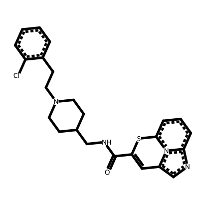 O=C(NCC1CCN(CCc2ccccc2Cl)CC1)C1=Cc2cnc3cccc(n23)S1